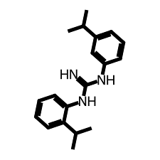 CC(C)c1cccc(NC(=N)Nc2ccccc2C(C)C)c1